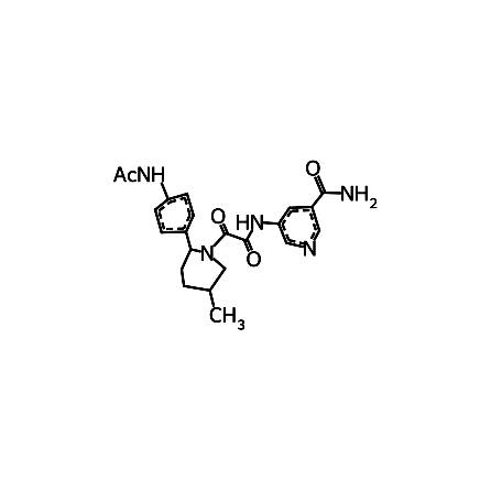 CC(=O)Nc1ccc(C2CCC(C)CN2C(=O)C(=O)Nc2cncc(C(N)=O)c2)cc1